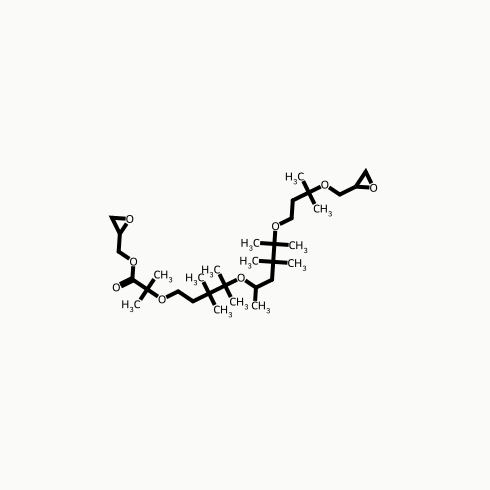 CC(CC(C)(C)C(C)(C)OCCC(C)(C)OCC1CO1)OC(C)(C)C(C)(C)CCOC(C)(C)C(=O)OCC1CO1